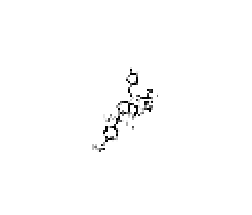 Cc1ccc(C(C)(C)N2CC[C@@](CCc3ccc(F)s3)(C(OC(N)=O)(C(F)(F)F)C(F)(F)F)C2)cn1